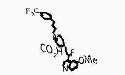 COc1ccc2nccc(C(F)CC[C@@H]3CCN(CCCCc4ccc(C(F)(F)F)cc4)C[C@@H]3C(=O)O)c2c1